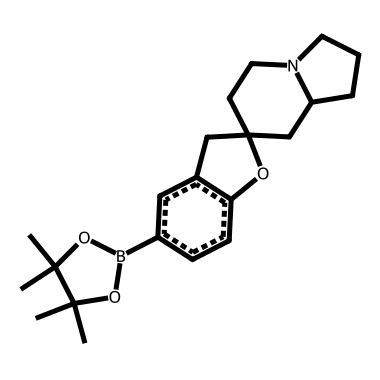 CC1(C)OB(c2ccc3c(c2)CC2(CCN4CCCC4C2)O3)OC1(C)C